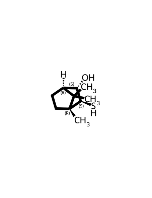 CC1(C)[C@H]2CC[C@@]1(C)[C@H](S)[C@H]2O